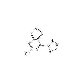 Clc1nc(-c2nccs2)c2ccccc2n1